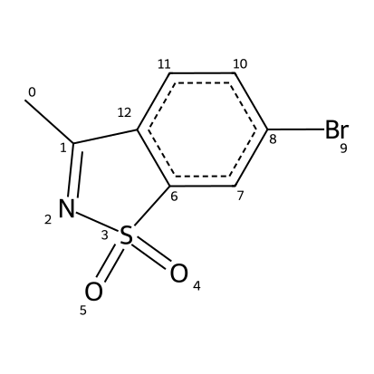 CC1=NS(=O)(=O)c2cc(Br)ccc21